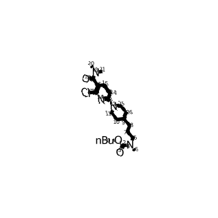 CCCCOC(=O)N(C)CCCC1CCN(c2ccc(C(=O)N(C)C)c(Cl)n2)CC1